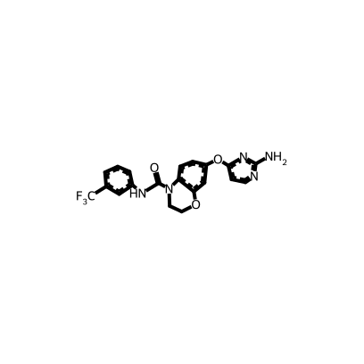 Nc1nccc(Oc2ccc3c(c2)OCCN3C(=O)Nc2cccc(C(F)(F)F)c2)n1